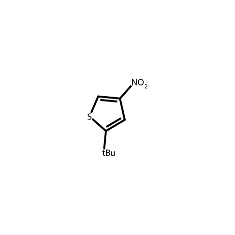 CC(C)(C)c1cc([N+](=O)[O-])cs1